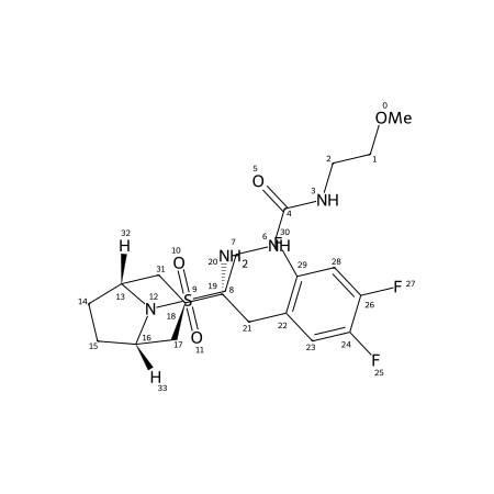 COCCNC(=O)NCCS(=O)(=O)N1[C@@H]2CC[C@H]1C[C@H]([C@H](N)Cc1cc(F)c(F)cc1F)C2